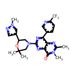 Cc1nc2c(-c3ccc(C(F)(F)F)nc3)nc(N3CC(c4cnn(C)c4)OC(C)(C)C3)nc2c(=O)n1C